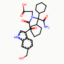 NC(=O)C(C1CCCCC1)(C1CCCCC1)N(CC(=O)O)C(=O)C(=O)c1c[nH]c2cc(CO)ccc12